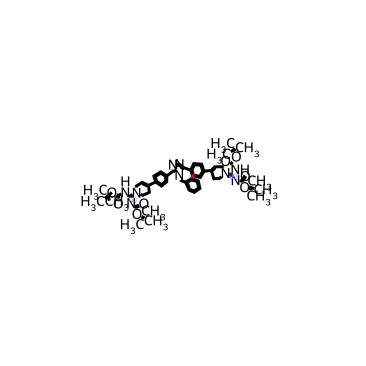 CC(C)(C)OC(=O)/N=C(/NC(=O)OC(C)(C)C)N1CC=C(c2ccc(-c3nnc(-c4ccc(C5=CCN(/C(=N/C(=O)OC(C)(C)C)NC(=O)OC(C)(C)C)CC5)cc4)n3Cc3ccccc3)cc2)CC1